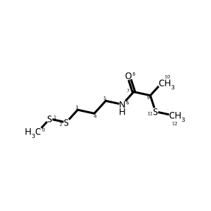 CSSCCCNC(=O)C(C)SC